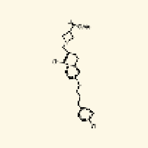 COC(=O)C1CN(CC2=C(Cl)c3ccc(OCCCc4ccc(Cl)cc4)cc3CC2)C1